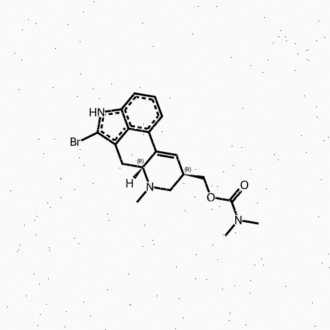 CN(C)C(=O)OC[C@@H]1C=C2c3cccc4[nH]c(Br)c(c34)C[C@H]2N(C)C1